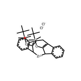 CC(C)(C)[Si](C)(C)OC1=C2CC3=C(O[Si](C)(C)C(C)(C)C)[CH]([Zr+2][CH]1c1ccccc12)c1ccccc13.[Cl-].[Cl-]